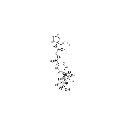 CCC1(OC(=O)COC(=O)C2CCC(S(=O)(=O)C(F)(F)C(F)(F)C(F)(F)S(=O)(=O)O)CC2)CCCC1